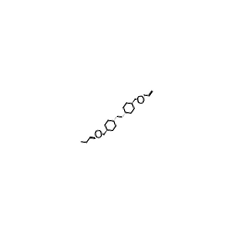 C=CCOC[C@H]1CC[C@H](CC[C@H]2CC[C@H](COC=CCC)CC2)CC1